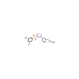 O=C(O)Cc1cccc(C2CCCN(S(=O)(=O)c3cc(Cl)cc(Cl)c3)C2)c1